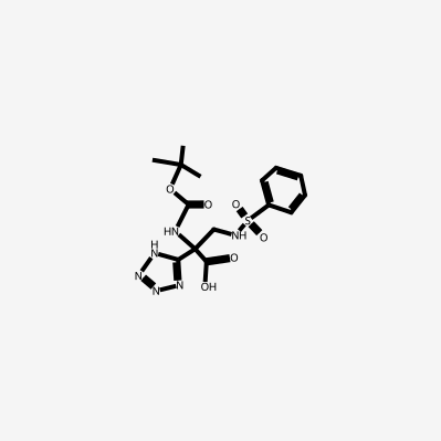 CC(C)(C)OC(=O)NC(CNS(=O)(=O)c1ccccc1)(C(=O)O)c1nnn[nH]1